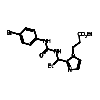 CCOC(=O)CCn1ccnc1C(CC)NC(=O)Nc1ccc(Br)cc1